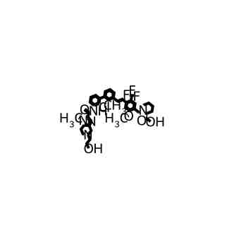 COc1cc(/C=C/c2cccc(-c3cccc(NC(=O)c4nc5c(n4C)CCN(CCO)C5)c3Cl)c2C)c(C(F)(F)F)cc1CN1CCCC[C@H]1C(=O)O